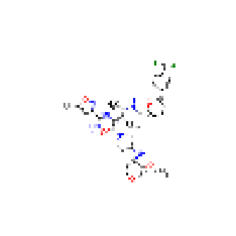 C=C(NC[C@H]1CCC[C@@H](c2ccc(C(F)(F)F)cc2)O1)/C(C)=C(\N=C(/N)c1cc(C)on1)C(=O)N1CCC(N[C@@H]2CCOC[C@@H]2OC)CC1